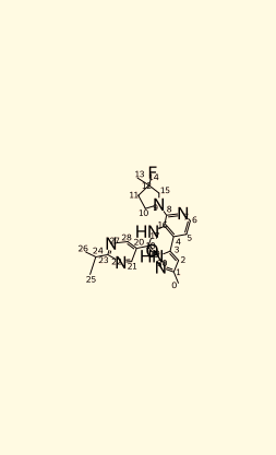 Cc1cc(-c2ccnc(N3CCC(C)(F)C3)c2NC(=O)c2cnc(C(C)C)nc2)[nH]n1